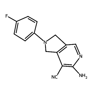 N#Cc1c(N)ncc2c1CN(c1ccc(F)cc1)C2